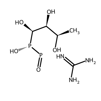 C[C@@H](O)[C@H](O)[C@H](O)[P@@](O)P=O.N=C(N)N